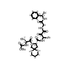 CCCC(NC(=O)[C@@H]1CC2(CN1C(=O)[C@@H](NC(=O)OCC(C)C)C(C)(C)C)SCCCS2)C(=O)C(=O)NCC(=O)N[C@H](C(C)=O)c1ccccc1